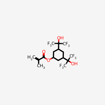 C=C(C)C(=O)OC1CC(C(O)(C(F)(F)F)C(F)(F)F)CC(C(O)(C(F)(F)F)C(F)(F)F)C1